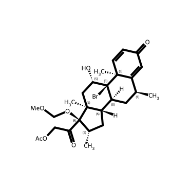 COCO[C@]1(C(=O)COC(C)=O)[C@@H](C)C[C@H]2[C@@H]3C[C@H](C)C4=CC(=O)C=C[C@]4(C)[C@@]3(Br)[C@@H](O)C[C@@]21C